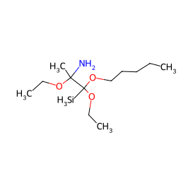 CCCCCOC([SiH3])(OCC)C(C)(N)OCC